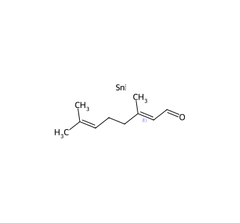 CC(C)=CCC/C(C)=C/C=O.[Sn]